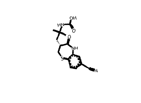 CC(C)(C[C@H]1CSc2ccc(C#N)cc2NC1=O)NC(=O)O